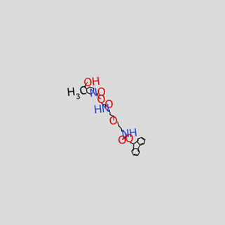 CC1(CO)CCN(C(=O)COCC(=O)NCCCOCCCCNC(=O)OCC2c3ccccc3-c3ccccc32)CC1